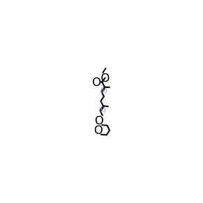 CCOC(=O)/C(C)=C/CC/C(C)=C/COC1CCCCO1